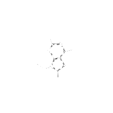 Cc1cc2c(Cl)nc(Cl)nc2n1SI